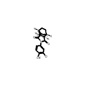 N#Cc1ccc(N2C(=O)[C@@H]3[C@H]4CC[C@H](C(=O)C4)[C@@H]3C2=O)cc1Cl